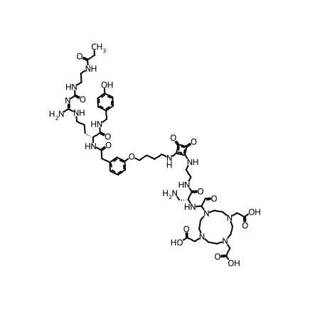 CCC(=O)NCCNC(=O)/N=C(/N)NCCC[C@@H](NC(=O)Cc1cccc(OCCCCNc2c(NCCNC(=O)[C@@H](CN)NC(C=O)N3CCN(CC(=O)O)CCN(CC(=O)O)CCN(CC(=O)O)CC3)c(=O)c2=O)c1)C(=O)NCc1ccc(O)cc1